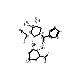 CC(=O)N1C[C@@H](O)[C@H](O)[C@@H](C(F)F)C1.O=C(c1ccccc1)N1C[C@@H](O)[C@H](O)[C@@H](C(F)F)C1